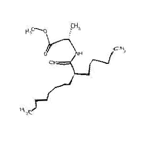 CCCCC[C@H](CCCC)C(=O)N[C@@H](C)C(=O)OC